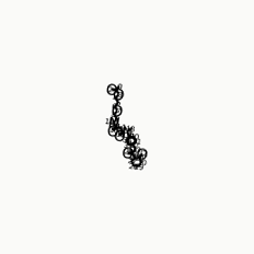 CC(=O)OCCCOCCN(C)C(=O)CC(=O)N(C)c1ccc(CC(=O)C2CCCCC2=O)cc1